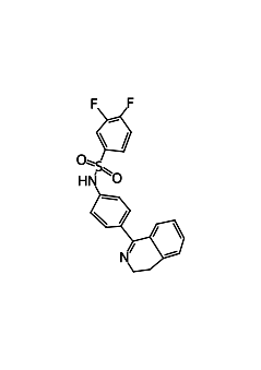 O=S(=O)(Nc1ccc(C2=NCCc3ccccc32)cc1)c1ccc(F)c(F)c1